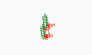 O=S(=O)(O)C(F)(F)C(F)(F)C(F)(F)C(F)(F)C(F)(F)C(F)(F)F.O=S(=O)(O)C(F)(F)C(F)(F)C(F)(F)C(F)(F)C(F)(F)C(F)(F)F.OCCCO